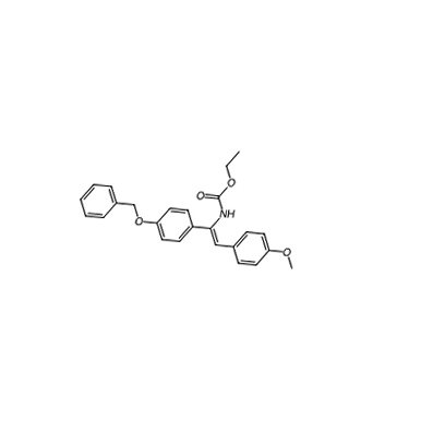 CCOC(=O)NC(=Cc1ccc(OC)cc1)c1ccc(OCc2ccccc2)cc1